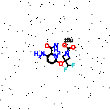 CC(C)(C)OC(=O)N1CC(Oc2ccc(N)c(C(N)=O)n2)(C(F)F)C1